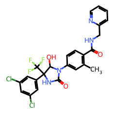 Cc1cc(N2C(=O)NC(c3cc(Cl)cc(Cl)c3)(C(F)(F)F)C2O)ccc1C(=O)NCc1ccccn1